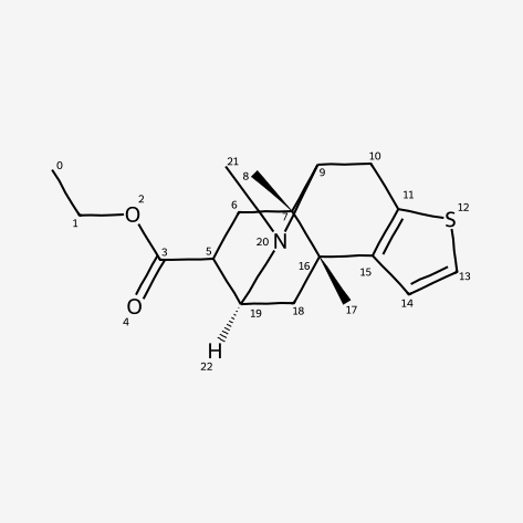 CCOC(=O)C1C[C@]2(C)C3Cc4sccc4[C@]2(C)C[C@@H]1N3C